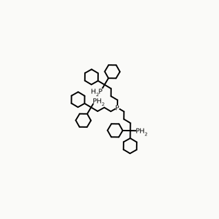 PC(CCCP(CCCC(P)(C1CCCCC1)C1CCCCC1)CCCC(P)(C1CCCCC1)C1CCCCC1)(C1CCCCC1)C1CCCCC1